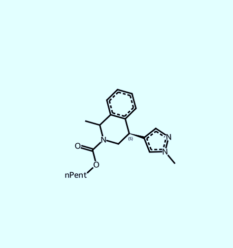 CCCCCOC(=O)N1C[C@H](c2cnn(C)c2)c2ccccc2C1C